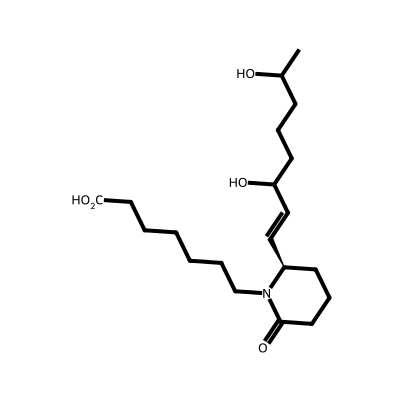 CC(O)CCCC(O)/C=C/[C@H]1CCCC(=O)N1CCCCCCC(=O)O